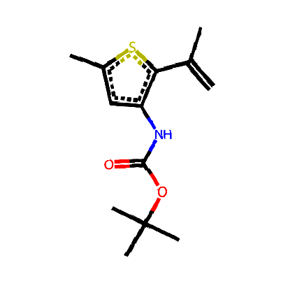 C=C(C)c1sc(C)cc1NC(=O)OC(C)(C)C